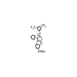 COc1ccc(CN2C(=O)CC[C@@H](OCc3cc(C(F)(F)F)cc(C(F)(F)F)c3)[C@H]2c2ccccc2)cc1